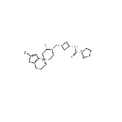 CCc1cc2c(s1)CCO[C@@]21CCN(C[C@H]2C[C@@H](NC(=O)[C@@H]3CCCO3)C2)[C@@H](C)C1